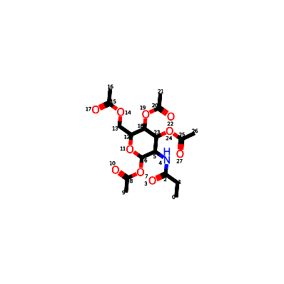 CCC(=O)NC1C(OC(C)=O)OC(COC(C)=O)C(OC(C)=O)C1OC(C)=O